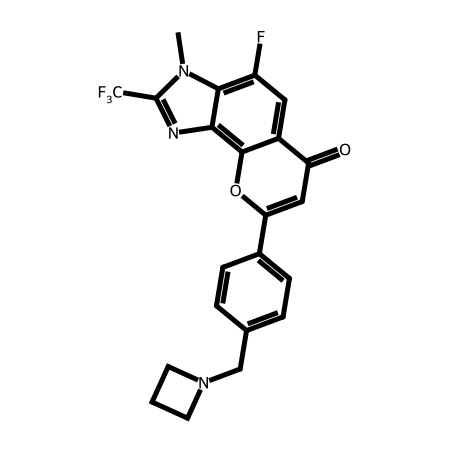 Cn1c(C(F)(F)F)nc2c3oc(-c4ccc(CN5CCC5)cc4)cc(=O)c3cc(F)c21